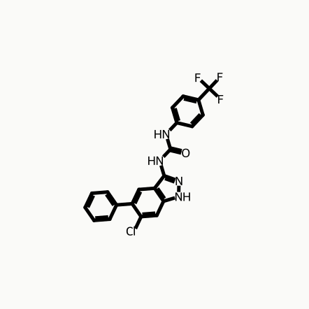 O=C(Nc1ccc(C(F)(F)F)cc1)Nc1n[nH]c2cc(Cl)c(-c3ccccc3)cc12